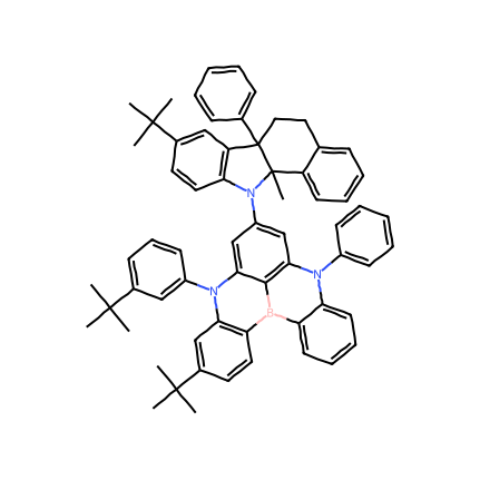 CC(C)(C)c1cccc(N2c3cc(C(C)(C)C)ccc3B3c4ccccc4N(c4ccccc4)c4cc(N5c6ccc(C(C)(C)C)cc6C6(c7ccccc7)CCc7ccccc7C56C)cc2c43)c1